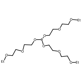 CCOCCOCCOB(OCCOCCOCC)OCCOCCOCC